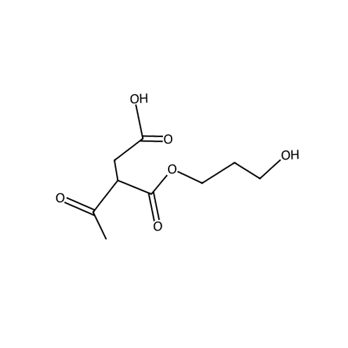 CC(=O)C(CC(=O)O)C(=O)OCCCO